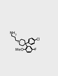 COc1ccc(F)cc1C1(c2ccc(Cl)cc2)CCN(CCCN)CC1